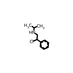 CC(C)NCC(Cl)c1ccccc1